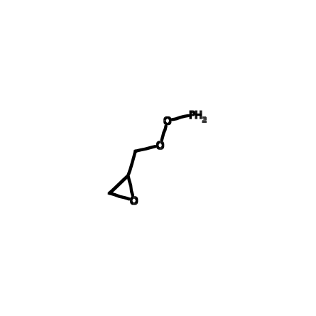 POOCC1CO1